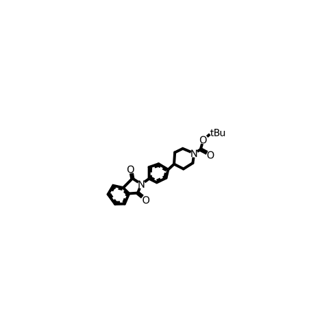 CC(C)(C)OC(=O)N1CCC(c2ccc(N3C(=O)c4ccccc4C3=O)cc2)CC1